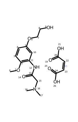 COc1ccc(OCCO)cc1NC(=O)CN(C)C.O=C(O)/C=C\C(=O)O